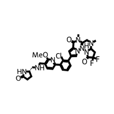 COc1nc(-c2cccc(-c3cc4c(=O)n(C)c(CN(C)C5CC(F)(F)C(=O)N5)nn4c3)c2Cl)ccc1CNC[C@@H]1CCC(=O)N1